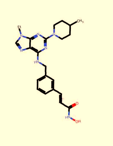 CCn1cnc2c(NCc3cccc(/C=C/C(=O)NO)c3)nc(N3CCC(C)CC3)nc21